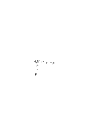 [F-].[F-].[F-].[F-].[F-].[NH4+].[Ti+4]